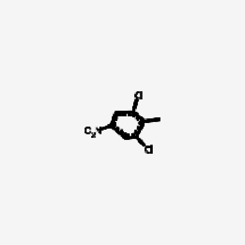 Cc1c(Cl)cc([N+](=O)[O-])cc1Cl